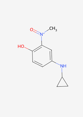 C[N+](=O)c1cc(NC2CC2)ccc1O